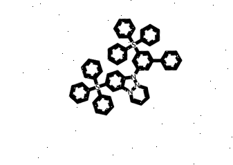 C1=CN2c3cc(S(c4ccccc4)(c4ccccc4)c4ccccc4)ccc3N(c3cc(-c4ccccc4)cc(S(c4ccccc4)(c4ccccc4)c4ccccc4)c3)N2C=C1